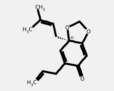 C=CCC1=C[C@@]2(CC=C(C)C)OCOC2=CC1=O